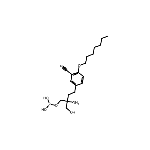 CCCCCCCOc1ccc(CCC(N)(CO)COP(O)O)cc1C#N